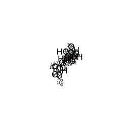 CCCCOC(=O)Nc1ccccc1C(=O)O[C@@]12CC[C@H](OC)C34C1CC(N3NC2)[C@@]1(O)C[C@H](OC)[C@H]2CC4[C@]1(O)[C@H]2OC